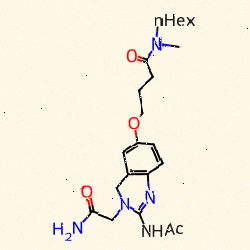 CCCCCCN(C)C(=O)CCCOc1ccc2c(c1)CN(CC(N)=O)C(NC(C)=O)=N2